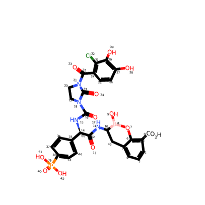 O=C(O)c1cccc2c1OB(O)C(NC(=O)[C@H](NC(=O)N1CCN(C(=O)c3ccc(O)c(O)c3Cl)C1=O)c1ccc(P(=O)(O)O)cc1)C2